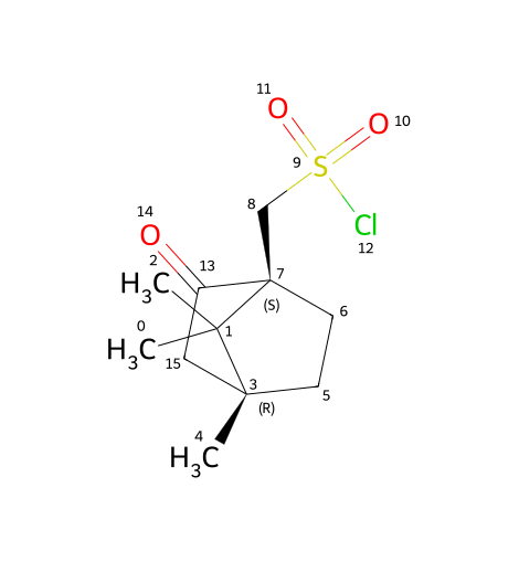 CC1(C)[C@]2(C)CC[C@@]1(CS(=O)(=O)Cl)C(=O)C2